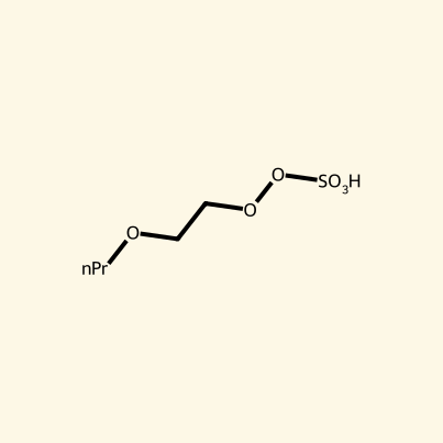 CCCOCCOOS(=O)(=O)O